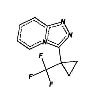 FC(F)(F)C1(c2nnc3ccccn23)CC1